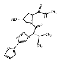 CNC(=O)[C@@H]1C[C@@H](O)CN1C(=O)[C@H](C(C)C)n1cc(-c2ccco2)nn1